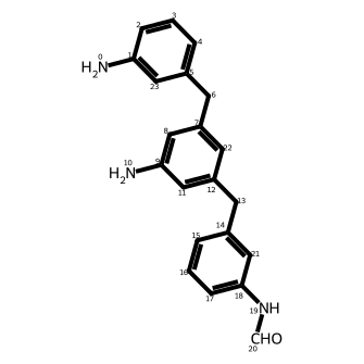 Nc1cccc(Cc2cc(N)cc(Cc3cccc(NC=O)c3)c2)c1